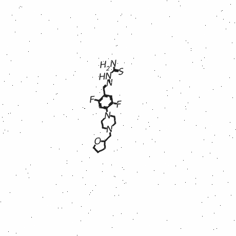 NC(=S)NN=Cc1cc(F)c(N2CCN(CC3CCCO3)CC2)cc1F